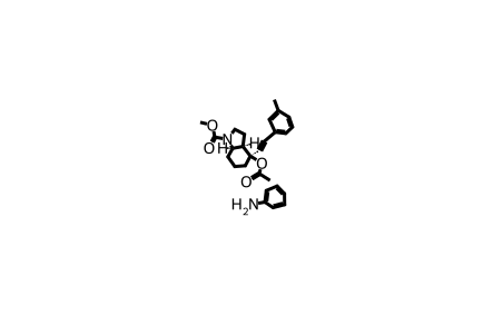 COC(=O)N1CC[C@@H]2[C@H]1CCC[C@]2(C#Cc1cccc(C)c1)OC(C)=O.Nc1ccccc1